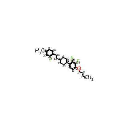 CCCCOc1ccc(C2CCC(CCc3ccc(C)cc3F)CC2)c(F)c1F